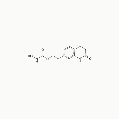 CC(C)(C)NC(=O)OCCc1ccc2c(c1)NC(=O)CC2